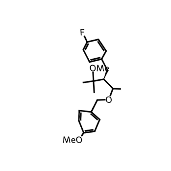 COc1ccc(COC(C)[C@H](Cc2ccc(F)cc2)C(C)(C)OC)cc1